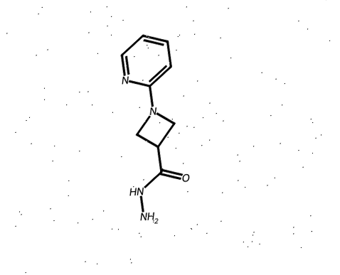 NNC(=O)C1CN(c2ccccn2)C1